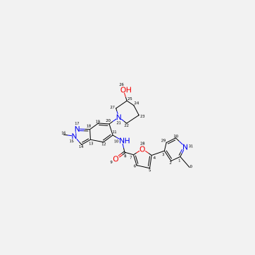 Cc1cc(-c2ccc(C(=O)Nc3cc4cn(C)nc4cc3N3CCCC(O)C3)o2)ccn1